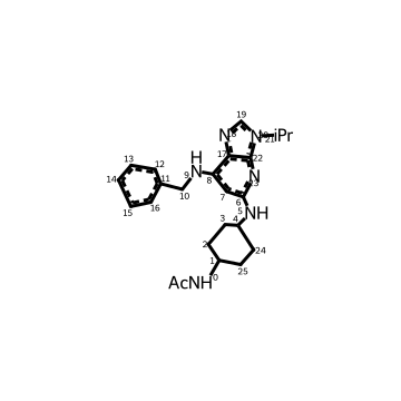 CC(=O)NC1CCC(Nc2cc(NCc3ccccc3)c3ncn(C(C)C)c3n2)CC1